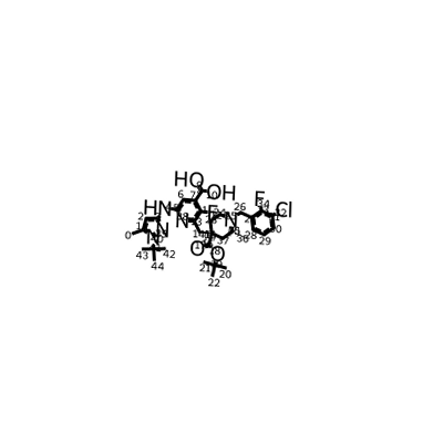 Cc1cc(Nc2cc(C(O)O)c(F)c(C[C@@]3(C(=O)OC(C)(C)C)CCN(Cc4cccc(Cl)c4F)[C@H](C)C3)n2)nn1C(C)(C)C